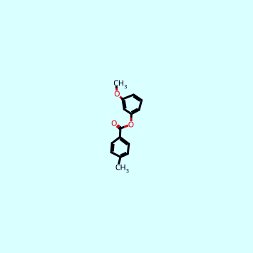 COc1cccc(OC(=O)c2ccc(C)cc2)c1